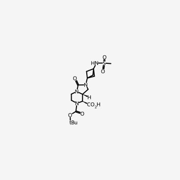 CC(C)(C)OC(=O)N1CCN2C(=O)N(C34CC(NS(C)(=O)=O)(C3)C4)C[C@@H]2[C@H]1C(=O)O